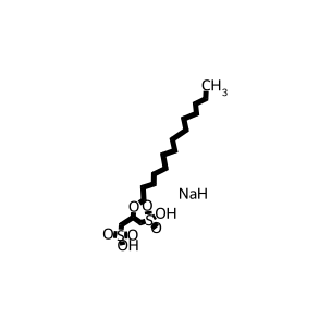 CCCCCCCCCCCCCCOC(CS(=O)(=O)O)CS(=O)(=O)O.[NaH]